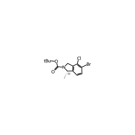 C[C@H]1c2ccc(Br)c(Cl)c2CN1C(=O)OC(C)(C)C